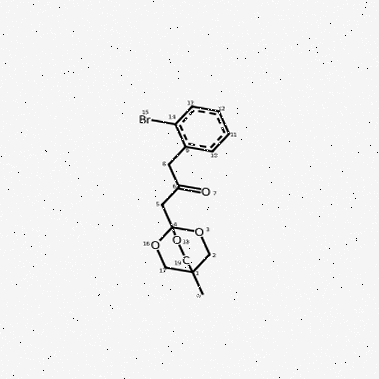 CC12COC(CC(=O)Cc3ccccc3Br)(OC1)OC2